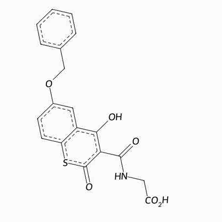 O=C(O)CNC(=O)c1c(O)c2cc(OCc3ccccc3)ccc2sc1=O